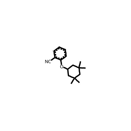 CC1(C)CC(Oc2ccc[c]c2C#N)CC(C)(C)C1